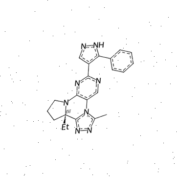 CC[C@@]12CCCN1c1nc(-c3cn[nH]c3-c3ccccc3)ncc1-n1c(C)nnc12